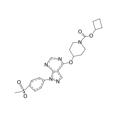 CS(=O)(=O)c1ccc(-n2ncc3c(OC4CCN(C(=O)OC5CCC5)CC4)ncnc32)cc1